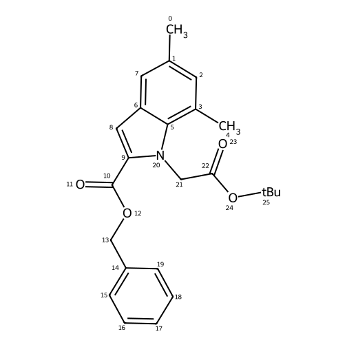 Cc1cc(C)c2c(c1)cc(C(=O)OCc1ccccc1)n2CC(=O)OC(C)(C)C